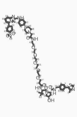 Cc1ncsc1-c1ccc(CNC(=O)[C@@H]2C[C@@H](O)CN2C(=O)[C@@H](NC(=O)CCOCCOCCOCCOCCOCCNC(=O)CN2CCN(c3ccc(Nc4nc5cccc(-c6ccc(S(C)(=O)=O)cc6)n5n4)cc3)CC2)C(C)(C)C)cc1